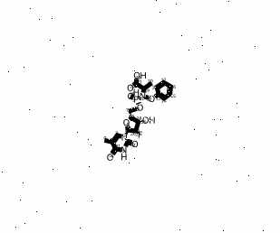 Cc1cn([C@H]2O[C@@H](CO[PH](=O)N(Oc3ccccc3)C(C)C(=O)O)[C@H](O)[C@H]2F)c(=O)[nH]c1=O